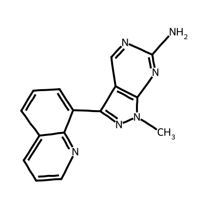 Cn1nc(-c2cccc3cccnc23)c2cnc(N)nc21